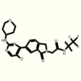 CC(C)(NC(=O)CN1Cc2ccc(-c3nc(NC4CCOCC4)ncc3Cl)cc2C1=O)C(F)(F)F